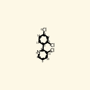 Clc1[c]c(Cl)c(-c2ncccc2Cl)cc1